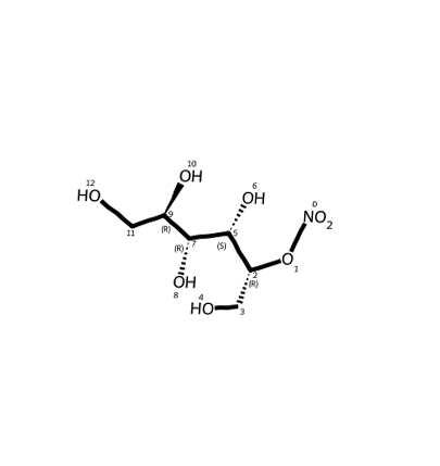 O=[N+]([O-])O[C@H](CO)[C@@H](O)[C@H](O)[C@H](O)CO